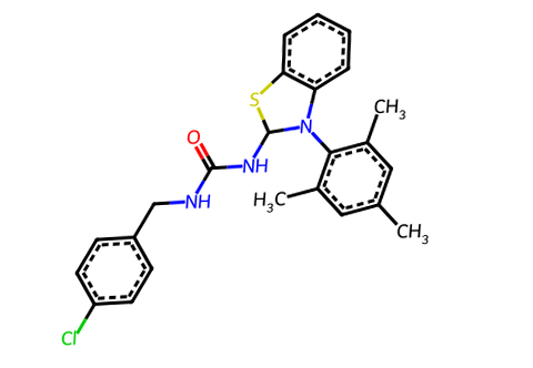 Cc1cc(C)c(N2c3ccccc3SC2NC(=O)NCc2ccc(Cl)cc2)c(C)c1